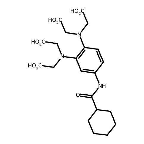 O=C(O)CN(CC(=O)O)c1ccc(NC(=O)C2CCCCC2)cc1N(CC(=O)O)CC(=O)O